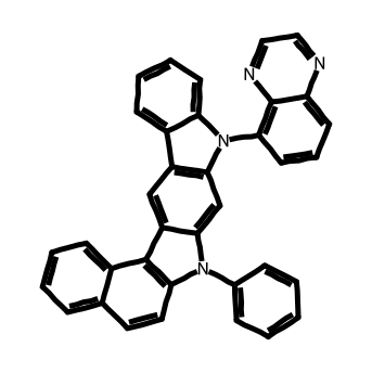 c1ccc(-n2c3cc4c(cc3c3c5ccccc5ccc32)c2ccccc2n4-c2cccc3nccnc23)cc1